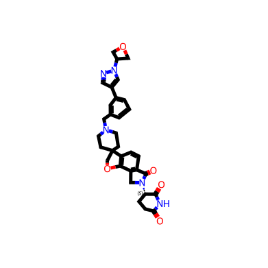 O=C1CC[C@H](N2Cc3c(ccc4c3OCC43CCN(Cc4cccc(-c5cnn(C6COC6)c5)c4)CC3)C2=O)C(=O)N1